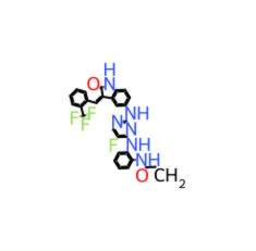 C=CC(=O)Nc1ccccc1Nc1nc(Nc2ccc3c(c2)/C(=C/c2ccccc2C(F)(F)F)C(=O)N3)ncc1F